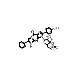 O=c1c2nc(-c3ccc(O)cc3)n([C@@H]3OC4CO[PH](=O)O[C@H]4[C@@H]3O)c2nc2[nH]c(-c3ccccc3)cn12